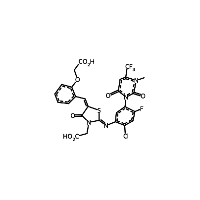 Cn1c(C(F)(F)F)cc(=O)n(-c2cc(N=C3SC(=Cc4ccccc4OCC(=O)O)C(=O)N3CC(=O)O)c(Cl)cc2F)c1=O